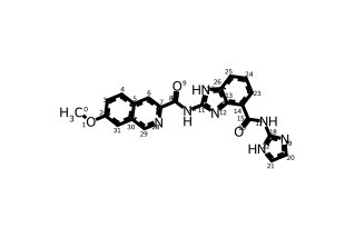 COc1ccc2cc(C(=O)Nc3nc4c(C(=O)Nc5ncc[nH]5)cccc4[nH]3)ncc2c1